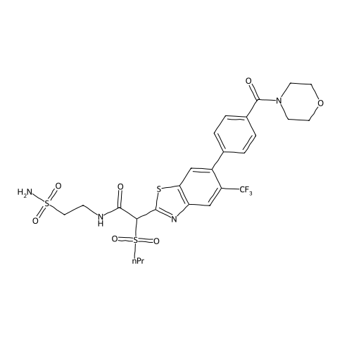 CCCS(=O)(=O)C(C(=O)NCCS(N)(=O)=O)c1nc2cc(C(F)(F)F)c(-c3ccc(C(=O)N4CCOCC4)cc3)cc2s1